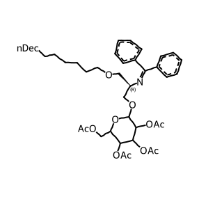 CCCCCCCCCCCCCCCCOC[C@H](COC1OC(COC(C)=O)C(OC(C)=O)C(OC(C)=O)C1OC(C)=O)N=C(c1ccccc1)c1ccccc1